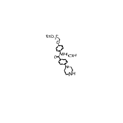 CCOC(=O)COc1ccc(NC(=O)c2ccc(N3CCNCC3)cc2)cc1.Cl